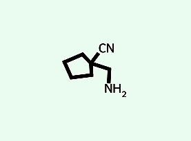 N#CC1(CN)CCCC1